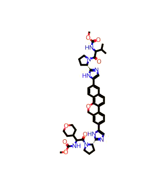 COC(=O)NC(C(=O)N1CCC[C@H]1c1ncc(-c2ccc3c4c(ccc3c2)-c2ccc(-c3cnc([C@@H]5CCCN5C(=O)C(NC(=O)OC)C5CCOCC5)[nH]3)cc2CO4)[nH]1)C(C)C